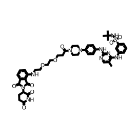 Cc1cnc(Nc2ccc(N3CCN(C(=O)CCOCCOCCNc4cccc5c4C(=O)N(C4CCC(=O)NC4=O)C5=O)CC3)cc2)nc1Nc1cccc(S(=O)(=O)NC(C)(C)C)c1